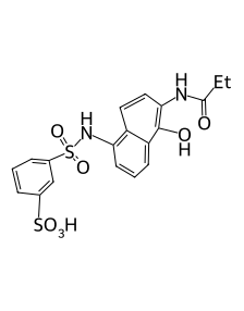 CCC(=O)Nc1ccc2c(NS(=O)(=O)c3cccc(S(=O)(=O)O)c3)cccc2c1O